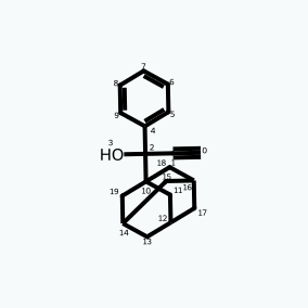 C#CC(O)(c1ccccc1)C12CC3CC(CC(C3)C1)C2